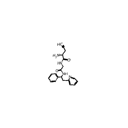 C#CCC(N)C(=O)NCC(=O)NC(Cc1ccccn1)c1ccccc1